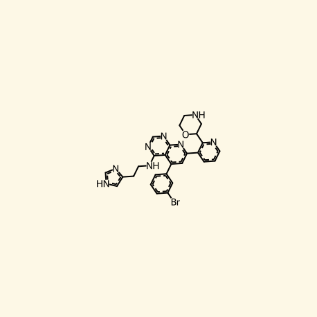 Brc1cccc(-c2cc(-c3cccnc3C3CNCCO3)nc3ncnc(NCCc4c[nH]cn4)c23)c1